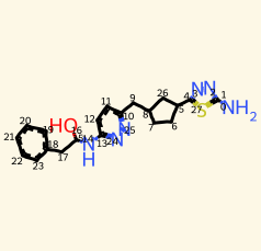 Nc1nnc(C2CCC(Cc3ccc(NC(O)Cc4ccccc4)nn3)C2)s1